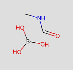 CNC=O.OB(O)O